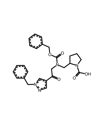 O=C(CN(CC1CCCN1C(=O)O)C(=O)OCc1ccccc1)c1cnn(Cc2ccccc2)c1